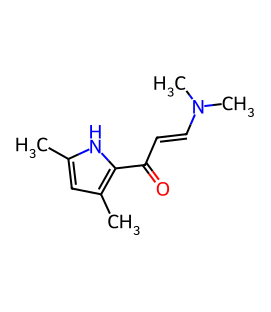 Cc1cc(C)c(C(=O)/C=C/N(C)C)[nH]1